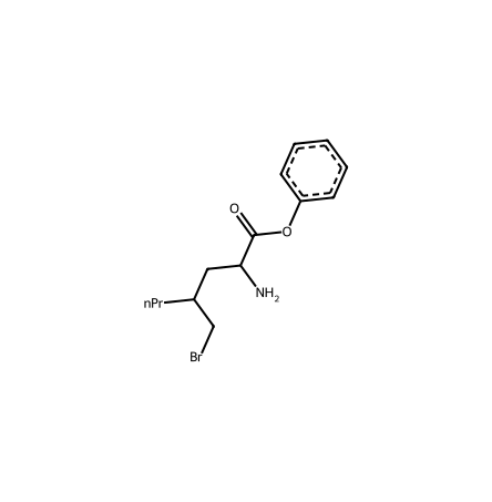 CCCC(CBr)CC(N)C(=O)Oc1ccccc1